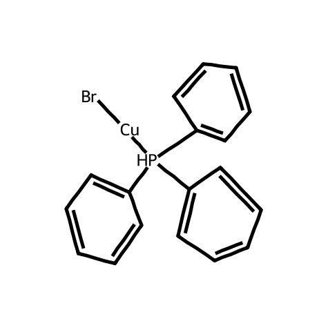 [Br][Cu][PH](c1ccccc1)(c1ccccc1)c1ccccc1